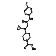 CC(C)(C)OC(=O)N1CCC(N(CC(=O)Nc2ccc(F)cc2)C2CC2)CC1